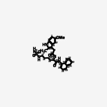 COc1ccc2[nH]c(C)c(CC(=O)NC(CCCCNS(N)(=O)=O)C(=O)Nc3cccc4cccnc34)c2c1